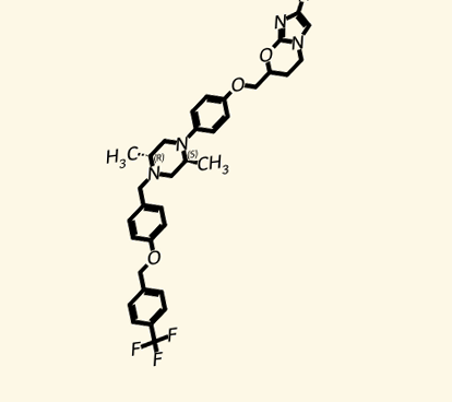 C[C@@H]1CN(c2ccc(OCC3CCn4cc([N+](=O)[O-])nc4O3)cc2)[C@@H](C)CN1Cc1ccc(OCc2ccc(C(F)(F)F)cc2)cc1